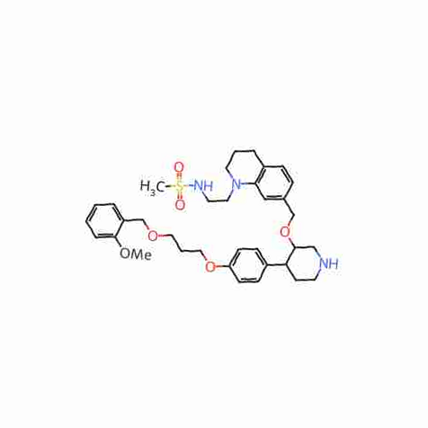 COc1ccccc1COCCCOc1ccc(C2CCNCC2OCc2ccc3c(c2)N(CCNS(C)(=O)=O)CCC3)cc1